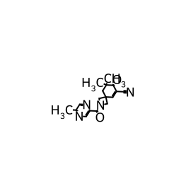 Cc1cnc(C(=O)N2CC3(C=C(C#N)C(=O)C(C)(C)C3)C2)cn1